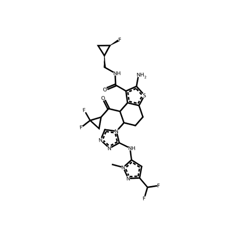 Cn1nc(C(F)F)cc1Nc1nncn1C1CCc2sc(N)c(C(=O)NC[C@H]3C[C@H]3F)c2C1C(=O)C1CC1(F)F